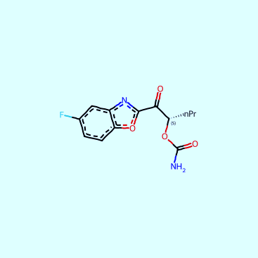 CCC[C@H](OC(N)=O)C(=O)c1nc2cc(F)ccc2o1